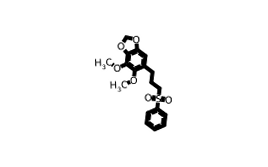 COc1c(CCCS(=O)(=O)c2ccccc2)cc2c(c1OC)OCO2